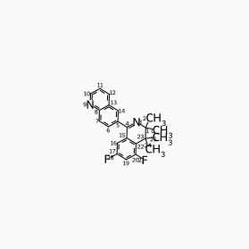 CC1(C)N=C(c2ccc3ncccc3c2)c2cc(F)cc(F)c2C1(C)C